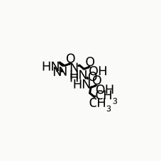 CC(C)CC(NC(=O)NC(CNC(=O)c1c[nH]nn1)C(=O)O)C(=O)O